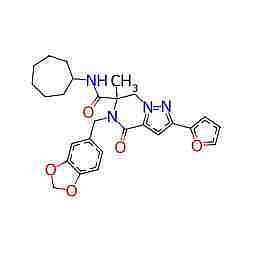 CC1(C(=O)NC2CCCCCC2)Cn2nc(-c3ccco3)cc2C(=O)N1Cc1ccc2c(c1)OCO2